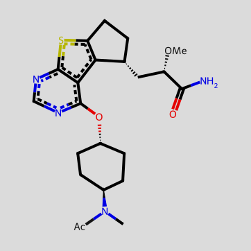 CO[C@@H](C[C@H]1CCc2sc3ncnc(O[C@H]4CC[C@H](N(C)C(C)=O)CC4)c3c21)C(N)=O